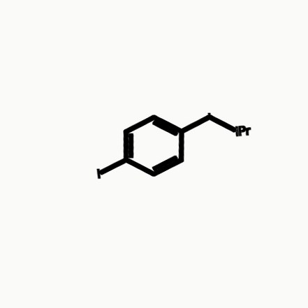 CC(C)[CH]c1ccc(I)cc1